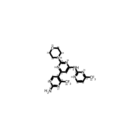 Nc1ncc(-c2cc(Nc3nccc(C(F)(F)F)n3)nc(N3CCOCC3)n2)c(C(F)(F)F)n1